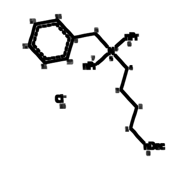 CCCCCCCCCCCCCC[N+](CCC)(CCC)Cc1ccccc1.[Cl-]